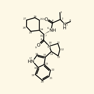 CNC(C)C(=O)N[C@H](C(=O)N1CCCC1c1c[nH]c2ccccc12)C1CCCCC1